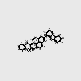 O=C(c1ccccc1O)c1ccc2ccc3cc(-c4cccc5c4sc4ccccc45)cc4ccc1c2c34